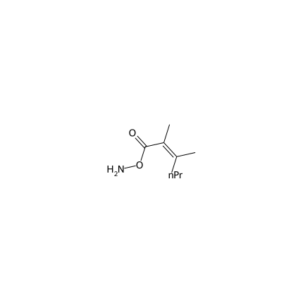 CCCC(C)=C(C)C(=O)ON